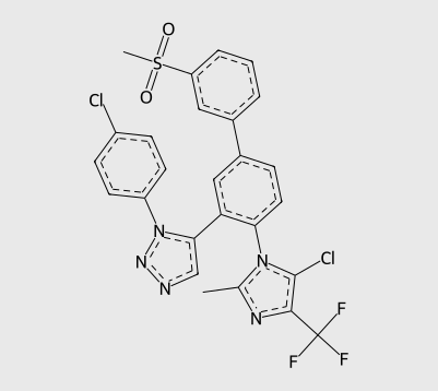 Cc1nc(C(F)(F)F)c(Cl)n1-c1ccc(-c2cccc(S(C)(=O)=O)c2)cc1-c1cnnn1-c1ccc(Cl)cc1